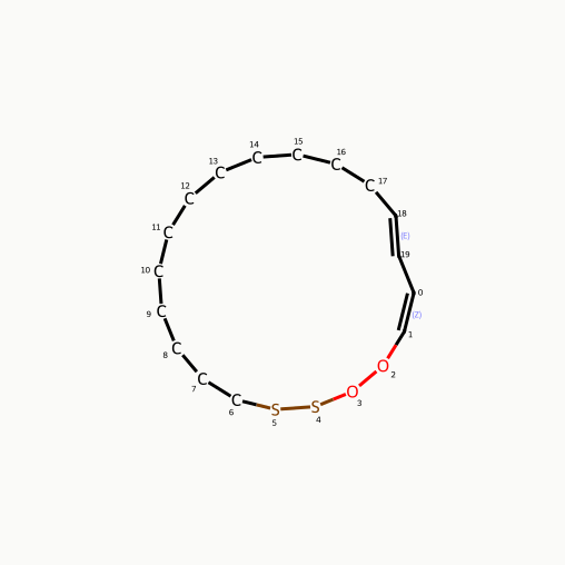 C1=C\OOSSCCCCCCCCCCCC/C=C/1